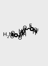 NS(=O)(=O)c1ccc(C(=O)N2C[C@H]3CN(C(=O)CCc4ccc(OC(F)(F)F)cc4F)C[C@@H]3C2)cc1